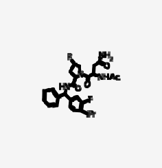 CC(=O)NC(CC(N)=O)C(=O)N1CC(F)CC1C(=O)NC(c1ccccc1)c1ccc(C(C)C)c(F)c1